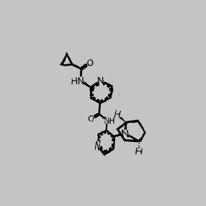 O=C(Nc1cnccc1N1[C@H]2CC[C@H]1CC2)c1ccnc(NC(=O)C2CC2)c1